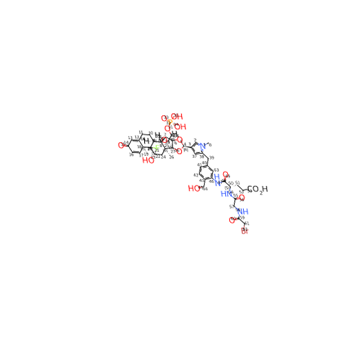 Cn1cc([C@@H]2O[C@@H]3C[C@H]4[C@@H]5CCC6=CC(=O)C=C[C@]6(C)[C@@]5(F)[C@@H](O)C[C@]4(C)[C@]3(C(=O)COP(=O)(O)O)O2)cc1Cc1ccc(CO)c(NC(=O)[C@H](CCC(=O)O)NC(=O)CNC(=O)CBr)c1